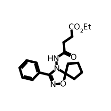 CCOC(=O)CCC(=O)NN1C(c2ccccc2)=NOC12CCCC2